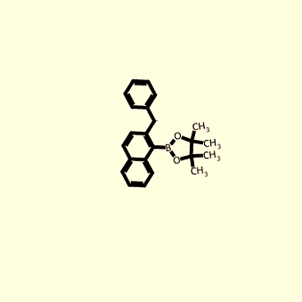 CC1(C)OB(c2c([CH]c3ccccc3)ccc3ccccc23)OC1(C)C